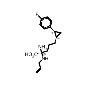 C=CCN[C@@](N)(CCC[C@@H]1C[C@@H]1c1ccc(F)cc1)C(=O)O